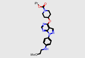 COCCNc1ccc(-n2ncc3c(OC4CCN(C(=O)OC(C)C)CC4)ncnc32)cc1